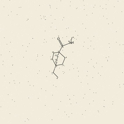 CCC12CCC(C(=O)NC)(CC1)CC2